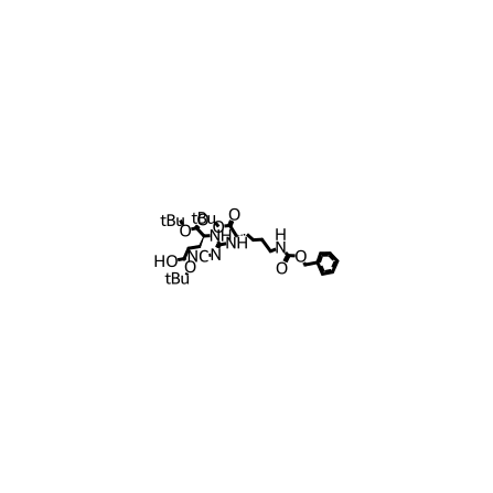 CC(C)(C)OC(=O)[C@H](CCCCNC(=O)OCc1ccccc1)N/C(=N/C#N)N[C@@H](CCC(O)OC(C)(C)C)C(=O)OC(C)(C)C